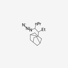 CCCC(N=[N+]=[N-])C(CC)C12CC3CC(CC(C3)C1)C2